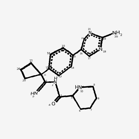 N=C(NC(=O)C1CCCCN1)C1(c2ccc(-c3cnc(N)nc3)cc2)CCC1